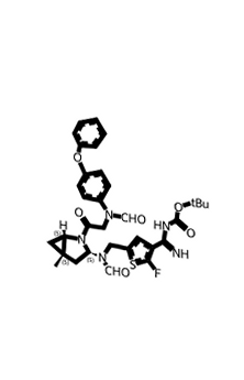 CC(C)(C)OC(=O)NC(=N)c1cc(CN(C=O)[C@@H]2C[C@]3(C)C[C@@H]3N2C(=O)CN(C=O)c2ccc(Oc3ccccc3)cc2)sc1F